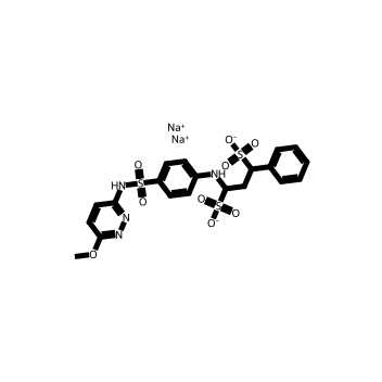 COc1ccc(NS(=O)(=O)c2ccc(NC(CC(c3ccccc3)S(=O)(=O)[O-])S(=O)(=O)[O-])cc2)nn1.[Na+].[Na+]